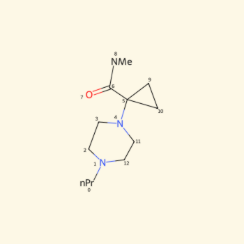 CCCN1CCN(C2(C(=O)NC)CC2)CC1